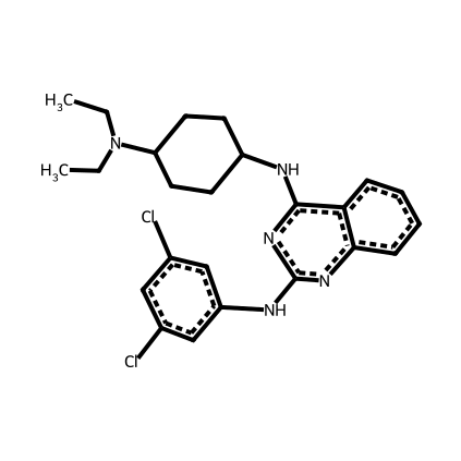 CCN(CC)C1CCC(Nc2nc(Nc3cc(Cl)cc(Cl)c3)nc3ccccc23)CC1